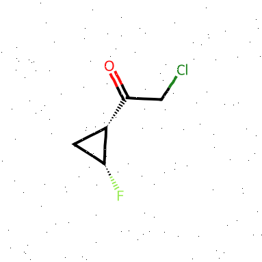 O=C(CCl)[C@H]1C[C@H]1F